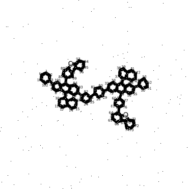 c1ccc(-c2ccc3c(-c4cccc5ccccc45)c4cc(-c5cccc(-c6ccc(-c7ccc8c(-c9cccc%10ccccc9%10)c9cc(-c%10ccccc%10)ccc9c(-c9ccc(-c%10cccc%11c%10oc%10ccccc%10%11)cc9)c8c7)cc6)c5)ccc4c(-c4ccc5oc6ccccc6c5c4)c3c2)cc1